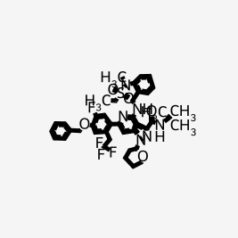 CCS(=O)(=O)N(C)c1ccccc1CNc1nc(-c2cc(F)c(OCc3ccccc3)cc2CC(F)(F)F)cc2c1c(C(=O)NC(C)(C)C)nn2C1CCCCO1